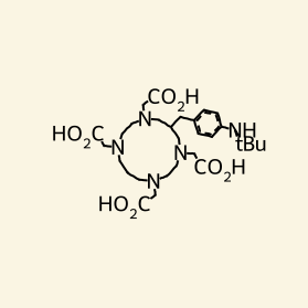 CC(C)(C)Nc1ccc(CC2CN(CC(=O)O)CCN(CC(=O)O)CCCN(CC(=O)O)CCN(CC(=O)O)C2)cc1